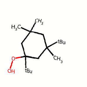 CC1(C)CC(C)(C(C)(C)C)CC(OO)(C(C)(C)C)C1